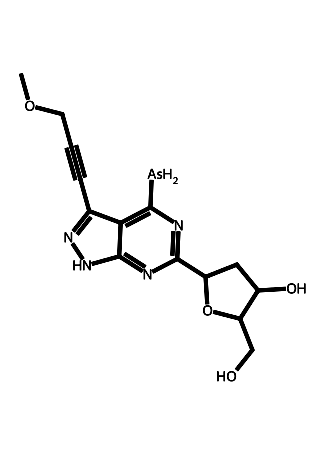 COCC#Cc1n[nH]c2nc(C3CC(O)C(CO)O3)nc([AsH2])c12